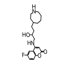 O=c1cc(NCC(O)CCC2CCCCNCC2)c2cc(F)ccc2o1